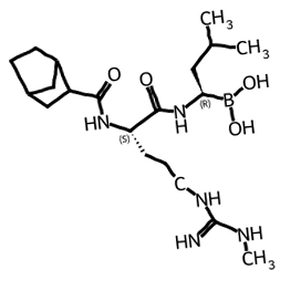 CNC(=N)NCCC[C@H](NC(=O)C1CC2CCC1C2)C(=O)N[C@@H](CC(C)C)B(O)O